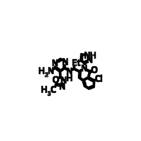 CCC(Nc1ncnc(N)c1-c1nnc(C)o1)c1cc2cccc(Cl)c2c(=O)n1-c1cc[nH]n1